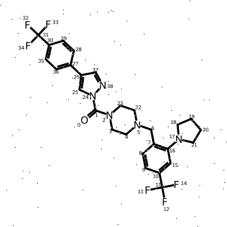 O=C(N1CCN(Cc2ccc(C(F)(F)F)cc2N2CCCC2)CC1)n1cc(-c2ccc(C(F)(F)F)cc2)cn1